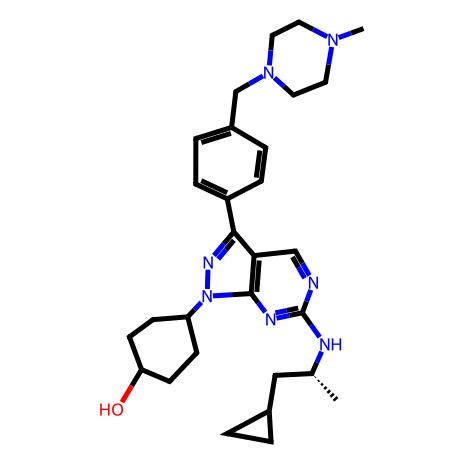 C[C@H](CC1CC1)Nc1ncc2c(-c3ccc(CN4CCN(C)CC4)cc3)nn(C3CCC(O)CC3)c2n1